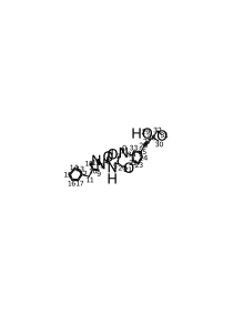 CN1C(=O)C(NC(=O)n2cc(Cc3ccccc3)cn2)COc2ccc(C#CC3(O)COC3)cc21